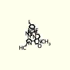 C#Cc1cccc(-c2cc(=O)n(C)c3ccc([C@](F)(c4ccc(I)cc4)c4cnnn4C)nc23)n1